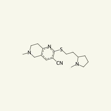 CN1CCc2nc(SCCC3CCCN3C)c(C#N)cc2C1